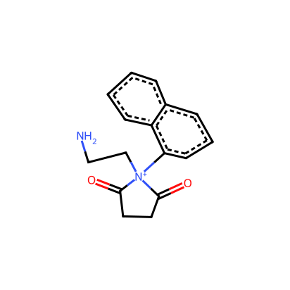 NCC[N+]1(c2cccc3ccccc23)C(=O)CCC1=O